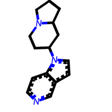 c1cc2c(ccn2C2CCN3CCCC3C2)cn1